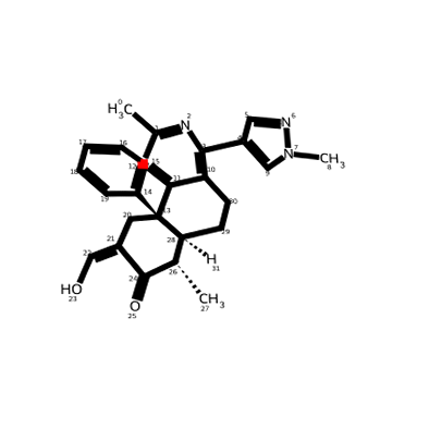 Cc1nc(-c2cnn(C)c2)c2c(n1)[C@@]1(c3ccccc3)C/C(=C/O)C(=O)[C@@H](C)[C@@H]1CC2